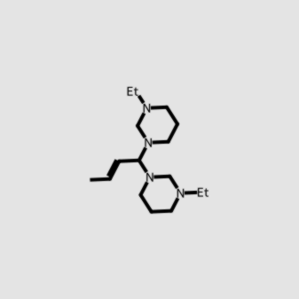 CC=CC(N1CCCN(CC)C1)N1CCCN(CC)C1